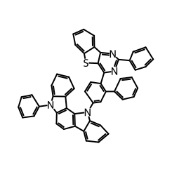 c1ccc(-c2nc(-c3ccc(-n4c5ccccc5c5ccc6c(c7ccccc7n6-c6ccccc6)c54)cc3-c3ccccc3)c3sc4ccccc4c3n2)cc1